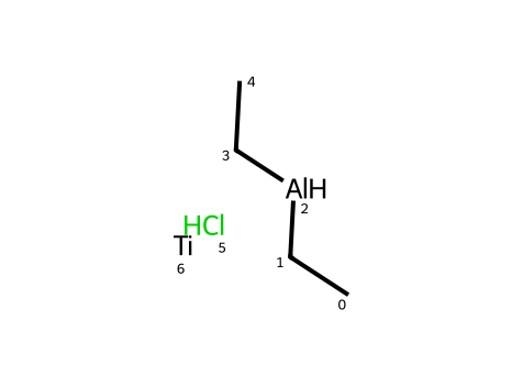 C[CH2][AlH][CH2]C.Cl.[Ti]